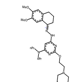 CCCN(CCC)c1cc(N/N=C2\CCCc3cc(OC)c(OC)cc32)nc(OCCN2CCOCC2)n1